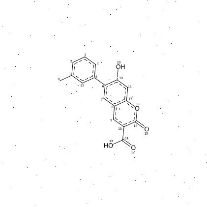 Cc1cccc(-c2cc3cc(C(=O)O)c(=O)oc3cc2O)c1